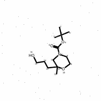 CC(C)(C)OC(=O)N1CCOC(C)(CCCO)C1